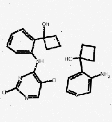 Nc1ccccc1C1(O)CCC1.OC1(c2ccccc2Nc2nc(Cl)ncc2Cl)CCC1